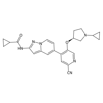 N#Cc1cc(-c2ccn3nc(NC(=O)C4CC4)cc3c2)c(O[C@H]2CCN(C3CC3)C2)cn1